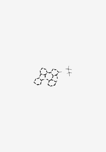 CC1(C)OB(c2ccc3c4cccc5c6ccccc6n(c6cccc7sc2c3c76)c45)OC1(C)C